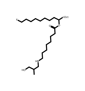 CCCCCCCCC(CCCCCCCCF)OC(=O)CCCCCCCNCC(C)CO